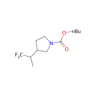 CCCCOC(=O)N1CCC(C(C)C(F)(F)F)C1